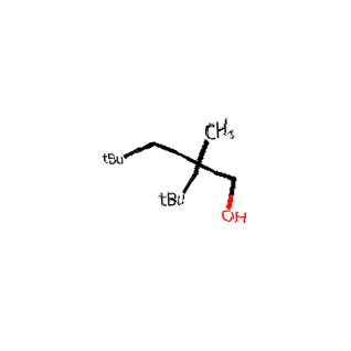 CC(C)(C)CC(C)(CO)C(C)(C)C